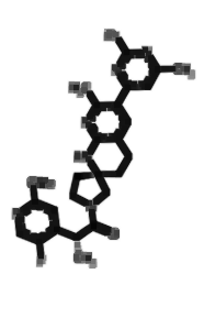 COc1cc([C@@H](C)C(=O)N2CC[C@@]3(CCc4cc(-c5cc(C)nc(C(C)C)n5)c(C)nc4N3)C2)c(F)cn1